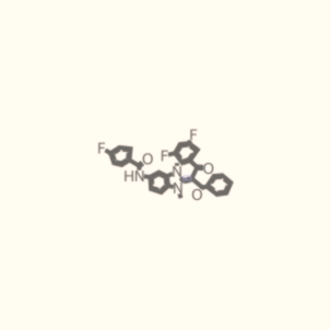 CN1/C(=C(\C(=O)c2ccccc2)C(=O)c2cc(F)cc(F)c2)N(C)c2cc(NC(=O)c3ccc(F)cc3)ccc21